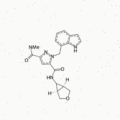 CNC(=O)c1cc(C(=O)NC2[C@H]3COC[C@@H]23)n(Cc2cccc3cc[nH]c23)n1